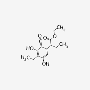 CCOC(=O)C(CC)C1C=C(O)C(CC)=C(O)C1=C=O